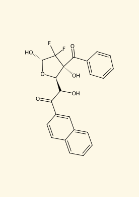 O=C(c1ccc2ccccc2c1)C(O)[C@H]1O[C@H](O)C(F)(F)[C@@]1(O)C(=O)c1ccccc1